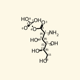 N[C@@H](C(=O)OP(=O)(O)O)[C@@H](O)[C@H](O)[C@H](O)CO